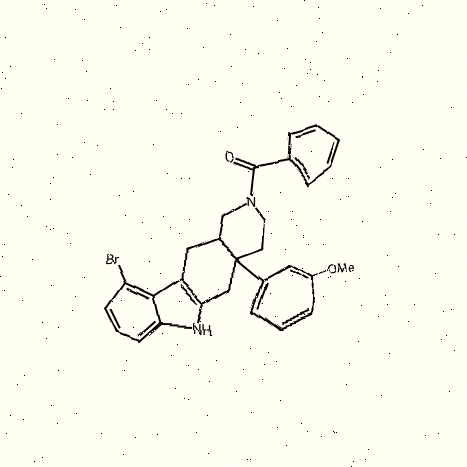 COc1cccc(C23CCN(C(=O)c4ccccc4)CC2Cc2c([nH]c4cccc(Br)c24)C3)c1